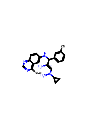 CNc1ncnc2ccc(NC(/C(N)=C/N(N)C3CC3)c3cccc(C#N)c3)cc12